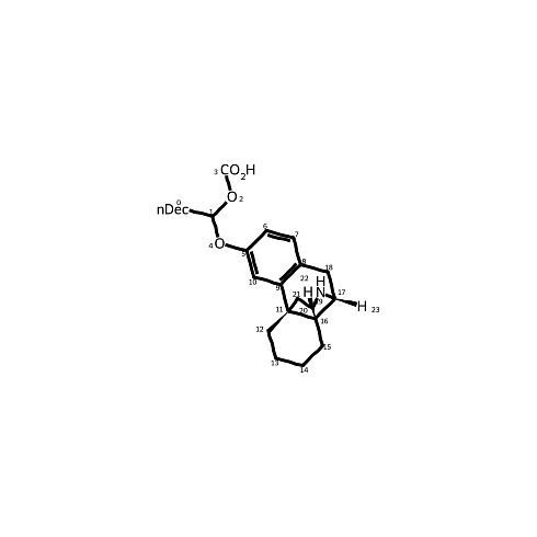 CCCCCCCCCCC(OC(=O)O)Oc1ccc2c(c1)[C@@]13CCCC[C@H]1[C@@H](C2)NCC3